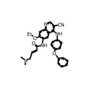 CCOc1cc2ncc(C#N)c(Nc3ccc(Oc4ccccc4)cc3)c2cc1NC(=O)C=CCN(C)C